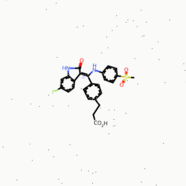 CS(=O)(=O)c1ccc(N/C(=C2\C(=O)Nc3cc(F)ccc32)c2ccc(CCC(=O)O)cc2)cc1